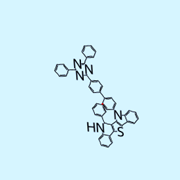 c1ccc(-c2nc(-c3ccccc3)nc(-c3ccc(-c4ccc(-n5c6ccccc6c6sc7c(c65)C(c5ccccc5)Nc5ccccc5-7)cc4)cc3)n2)cc1